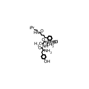 CC(C)CCNC(=O)CCCc1ccccc1N(C)C(=O)[C@@H](C)NC(=O)[C@@H](N)Cc1ccc(O)cc1.Cl.O.O